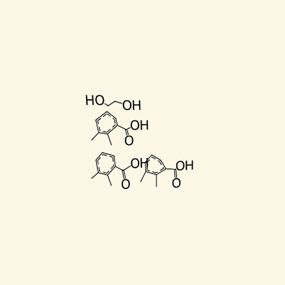 Cc1cccc(C(=O)O)c1C.Cc1cccc(C(=O)O)c1C.Cc1cccc(C(=O)O)c1C.OCCO